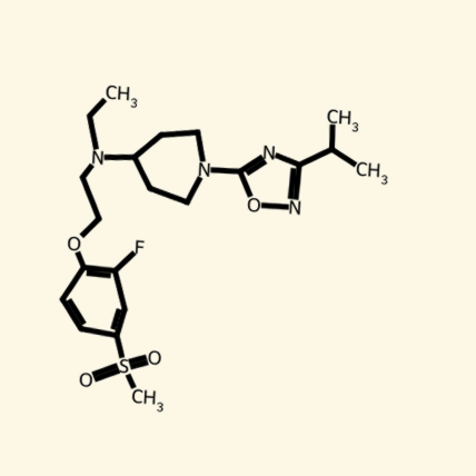 CCN(CCOc1ccc(S(C)(=O)=O)cc1F)C1CCN(c2nc(C(C)C)no2)CC1